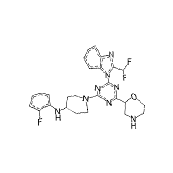 Fc1ccccc1NC1CCN(c2nc(C3CNCCO3)nc(-n3c(C(F)F)nc4ccccc43)n2)CC1